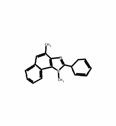 Cc1cc2ccccc2c2c1nc(C1C=CC=CC1)n2C